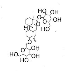 C=C1C[C@@]23CCC4[C@](C)(C(=O)O[C@@H]5OC(CO)[C@@H](O)C(O)[C@@H]5O)CCC[C@@]4(C)[C@@H]2CC[C@]1(OC[C@@H]1OC(CO)[C@@H](O)C(O)[C@@H]1O)C3